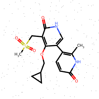 Cc1[nH]c(=O)ccc1-c1c[nH]c(=O)c(CS(C)(=O)=O)c1OCC1CC1